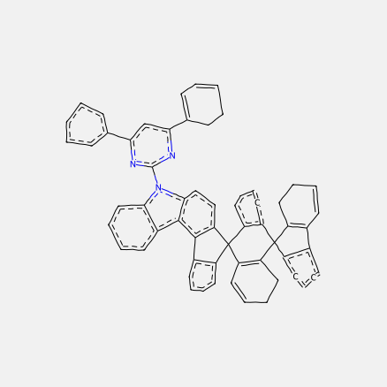 C1=CCCC(c2cc(-c3ccccc3)nc(-n3c4ccccc4c4c5c(ccc43)C3(C4=C(CCC=C4)C4(C6=C(C=CCC6)c6ccccc64)c4ccccc43)c3ccccc3-5)n2)=C1